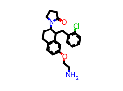 NCCOc1ccc2c(c1)C(Cc1ccccc1Cl)C(N1CCCC1=O)CC2